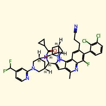 Cc1nc2c(F)c(-c3cccc(Cl)c3Cl)c(CCC#N)cc2c2c1cc([C@H]1[C@H]3C[C@H](CN(c4cc(C(F)F)ccn4)C3)N1C(=O)C1CC1)n2[C@H]1[C@H]2CN[C@@H]1C2